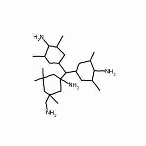 CC1CC(C(C2CC(C)C(N)C(C)C2)C2(N)CC(C)(C)CC(C)(CN)C2)CC(C)C1N